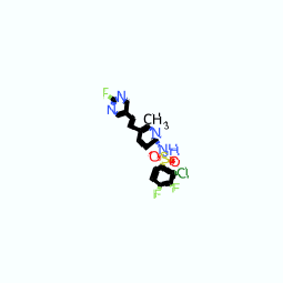 Cc1nc(NS(=O)(=O)c2ccc(F)c(F)c2Cl)ccc1C=Cc1cnc(F)nc1